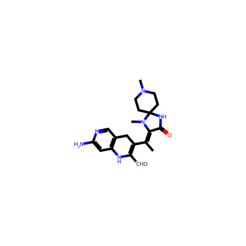 C/C(C1=C(C=O)Nc2cc(N)ncc2C1)=C1\C(=O)NC2(CCN(C)CC2)N1C